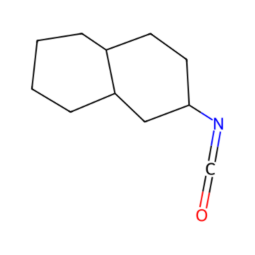 O=C=NC1CCC2CCCCC2C1